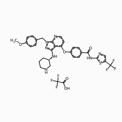 COc1ccc(Cn2nc(N[C@@H]3CCCNC3)c3c(Oc4ccc(C(=O)Nc5ncc(C(F)(F)F)s5)cc4)ccnc32)cc1.O=C(O)C(F)(F)F